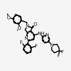 COc1ccc(CN2Cc3nc(-c4c(F)cccc4F)cc(Nc4ccc(N5CCC(F)(F)CC5)cn4)c3C2=O)c(OC)c1